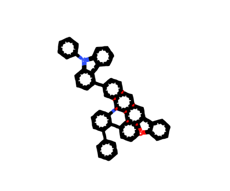 c1ccc(-c2ccccc2-c2c(-c3ccccc3)cccc2N(c2cccc(-c3cccc4c3c3ccccc3n4-c3ccccc3)c2)c2ccc3c(c2)oc2ccccc23)cc1